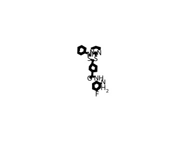 Nc1cc(F)ccc1NC(=O)c1ccc(C(SNc2ccccc2)Sc2ncccn2)cc1